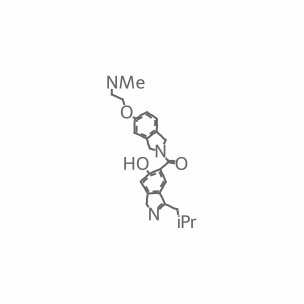 CNCCOc1ccc2c(c1)CN(C(=O)c1cc3c(cc1O)CN=C3CC(C)C)C2